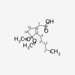 CCCCCC1C(CC(=O)O)CCC1(OC)OC